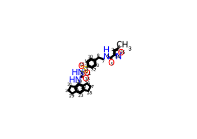 Cc1cc(C(=O)NCCc2ccc(S(=O)(=O)NC(=O)Nc3c4c(cc5c3CCC5)CCC4)cc2)no1